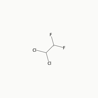 F[C](F)C(Cl)Cl